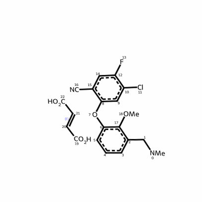 CNCc1cccc(Oc2cc(Cl)c(F)cc2C#N)c1OC.O=C(O)/C=C/C(=O)O